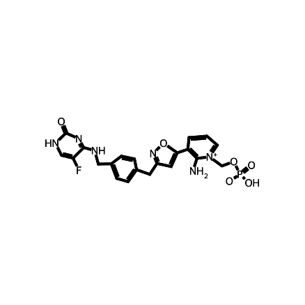 Nc1c(-c2cc(Cc3ccc(CNc4nc(=O)[nH]cc4F)cc3)no2)ccc[n+]1COP(=O)([O-])O